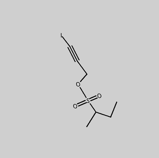 CCC(C)S(=O)(=O)OCC#CI